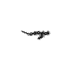 CCCCCCCOc1ccc(-c2cnc(-c3ccc(C[C@H](NC(=O)c4ccc(C(C)(C)C)s4)C(=O)Nc4ccc(C(F)(F)F)cc4)cc3)nc2)cc1